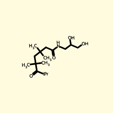 CC(C)C(=O)C(C)(C)CC(C)(C)CC(=O)NCC(O)CO